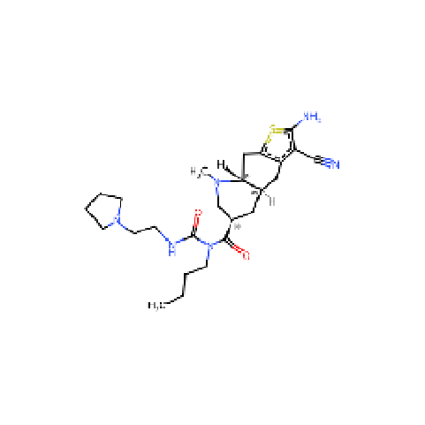 CCCCN(C(=O)NCCN1CCCC1)C(=O)[C@@H]1C[C@@H]2Cc3c(sc(N)c3C#N)C[C@H]2N(C)C1